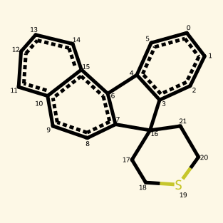 c1ccc2c(c1)-c1c(ccc3ccccc13)C21CCSCC1